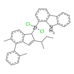 CCC(C)C1=Cc2c(ccc(C)c2-c2ccccc2C)[CH]1[Zr]([Cl])([Cl])[c]1cccc2c1[SiH2]c1ccccc1-2